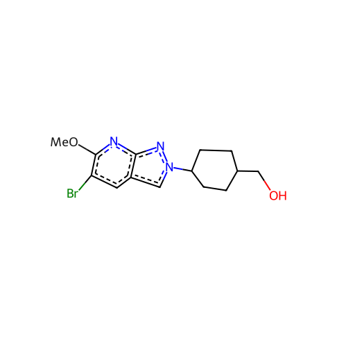 COc1nc2nn(C3CCC(CO)CC3)cc2cc1Br